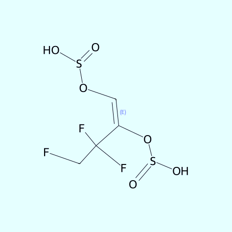 O=S(O)O/C=C(/OS(=O)O)C(F)(F)CF